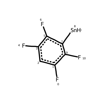 Fc1cc(F)c(F)[c]([SnH])c1F